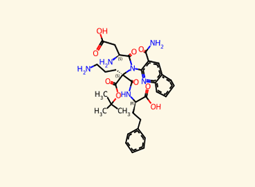 CC(C)(C)OC(=O)[C@](CCCN)(C(=O)N[C@H](CCc1ccccc1)C(=O)O)N(C(=O)[C@@H](N)CC(=O)O)c1nc2ccccc2cc1C(N)=O